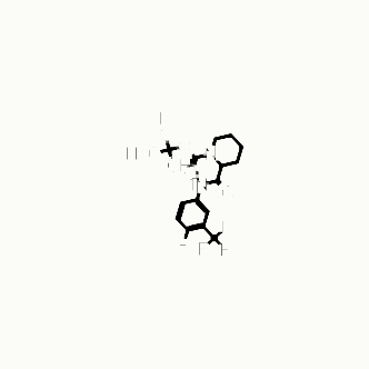 CC(C)(C)OC(=O)N1CCCCC1C(=O)Nc1ccc(F)c(C(F)(F)F)c1